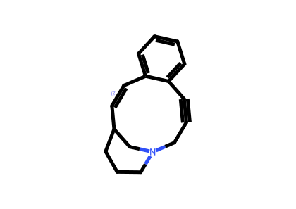 C1#Cc2ccccc2/C=C\C2CCCN(C1)C2